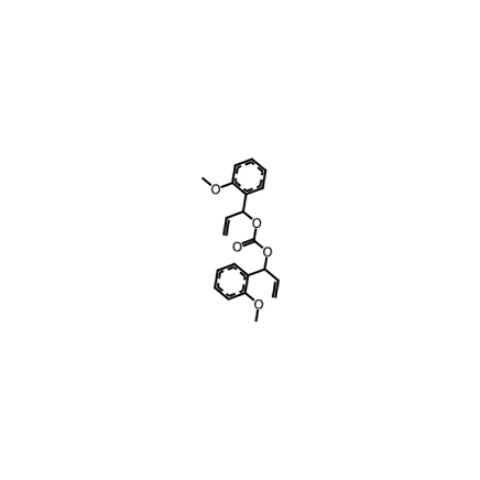 C=CC(OC(=O)OC(C=C)c1ccccc1OC)c1ccccc1OC